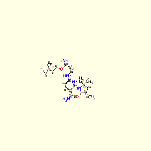 C[C@@H]1CN(c2nc(N/C=C\C(=N)OCCC3(C(F)(F)F)CC3)ccc2C(N)=O)C(C)(C)C1